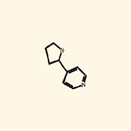 c1cc(C2CCC[N]2)ccn1